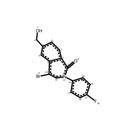 O=c1c2ccc(CO)cc2c(Br)cn1-c1ccc(F)cc1